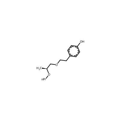 CCCO[C@@H](C)COCCc1ccc(O)cc1